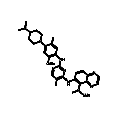 COc1cc(N2CCC(N(C)C)CC2)c(C)cc1Nc1ncc(C)c(Nc2ccc3nccnc3c2N(C)SC)n1